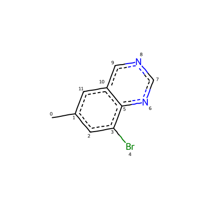 Cc1cc(Br)c2ncncc2c1